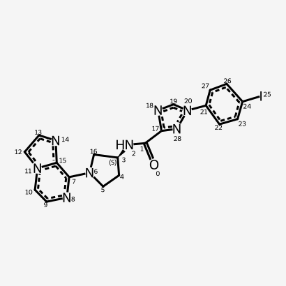 O=C(N[C@H]1CCN(c2nccn3ccnc23)C1)c1ncn(-c2ccc(I)cc2)n1